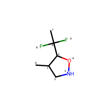 CC1CNOC1C(C)(F)F